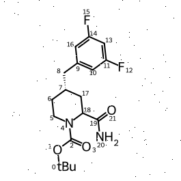 CC(C)(C)OC(=O)N1CC[C@H](Cc2cc(F)cc(F)c2)CC1C(N)=O